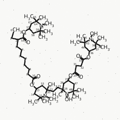 CCC(CCCCCCCC(=O)OC1CC(C)(C)N(C)C(C)(CCC2(C)CC(OC(=O)CCC(=O)OC3CC(C)(C)N(O)C(C)(C)C3)CC(C)(C)N2O)C1)C(=O)OC1CC(C)(C)N(C)C(C)(C)C1